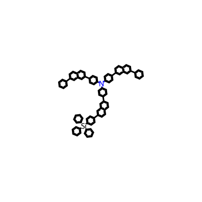 c1ccc(-c2ccc3ccc(-c4ccc(N(c5ccc(-c6ccc7ccc(-c8ccccc8)cc7c6)cc5)c5ccc(-c6ccc7ccc(-c8ccc([Si](c9ccccc9)(c9ccccc9)c9ccccc9)cc8)cc7c6)cc5)cc4)cc3c2)cc1